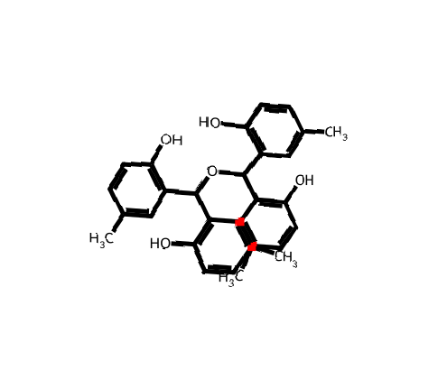 Cc1ccc(O)c(C(OC(c2cc(C)ccc2O)c2cc(C)ccc2O)c2cc(C)ccc2O)c1